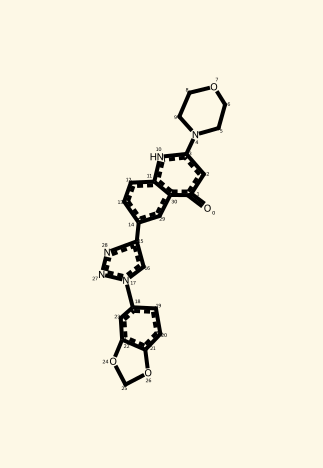 O=c1cc(N2CCOCC2)[nH]c2ccc(-c3cn(-c4ccc5c(c4)OCO5)nn3)cc12